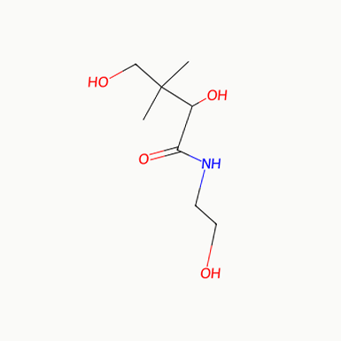 CC(C)(CO)C(O)C(=O)NCCO